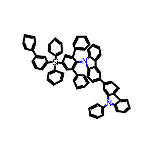 c1ccc(-c2cccc([Si](c3ccccc3)(c3ccccc3)c3cc(-c4ccccc4)c(-n4c5ccccc5c5cc(-c6ccc7c8ccccc8n(-c8ccccc8)c7c6)ccc54)c(-c4ccccc4)c3)c2)cc1